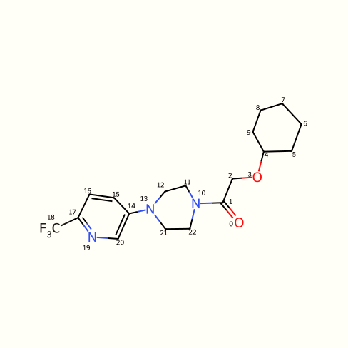 O=C(COC1CCCCC1)N1CCN(c2ccc(C(F)(F)F)nc2)CC1